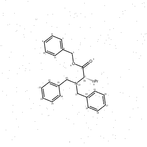 CCC[C@@H](C(=O)OCc1ccccc1)N(Cc1ccccc1)Cc1ccccc1